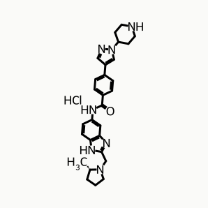 C[C@H]1CCCN1Cc1nc2cc(NC(=O)c3ccc(-c4cnn(C5CCNCC5)c4)cc3)ccc2[nH]1.Cl